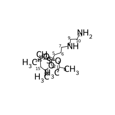 CC(C)O[Si]1(CCCNCCN)OC(C)CC(C)(C)O1